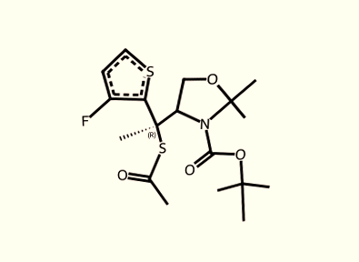 CC(=O)S[C@@](C)(c1sccc1F)C1COC(C)(C)N1C(=O)OC(C)(C)C